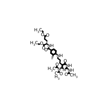 CCOC(=O)CC[C@@H](NC(=O)c1ccc(NCCCc2c(N(C(C)=O)C(C)=O)nc(NC(C)=O)[nH]c2=O)c(F)c1)C(=O)OCC